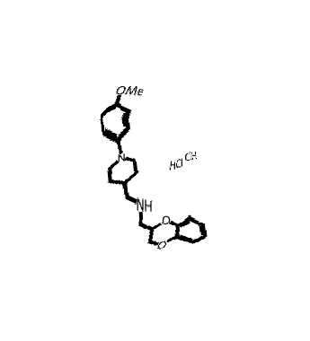 COc1ccc(N2CCC(CNCC3COc4ccccc4O3)CC2)cc1.Cl.Cl